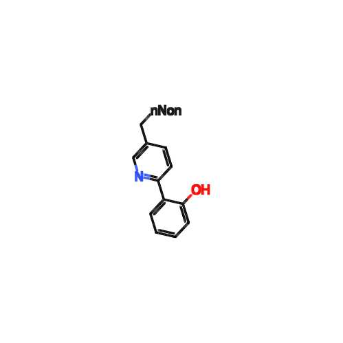 CCCCCCCCCCc1ccc(-c2ccccc2O)nc1